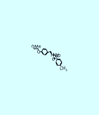 COCCOc1ccc(C=NNS(=O)(=O)c2ccc(C)cc2)cc1